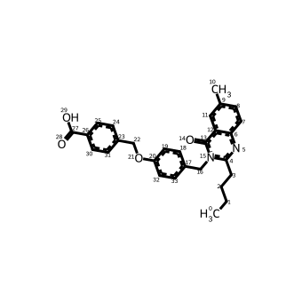 CCCCc1nc2ccc(C)cc2c(=O)n1Cc1ccc(OCc2ccc(C(=O)O)cc2)cc1